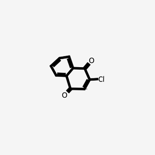 O=C1[C]=C(Cl)C(=O)c2ccccc21